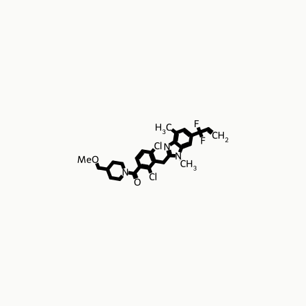 C=CC(F)(F)c1cc(C)c2nc(Cc3c(Cl)ccc(C(=O)N4CCC(COC)CC4)c3Cl)n(C)c2c1